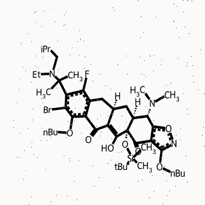 CCCCOc1noc2c1C(=O)[C@@]1(O[Si](C)(C)C(C)(C)C)C(O)=C3C(=O)c4c(c(F)c(C(C)(C)N(CC)CC(C)C)c(Br)c4OCCCC)C[C@H]3C[C@H]1[C@@H]2N(C)C